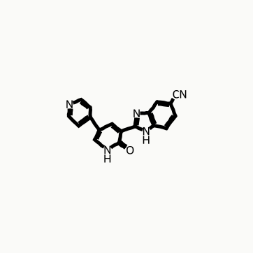 N#Cc1ccc2[nH]c(-c3cc(-c4ccncc4)c[nH]c3=O)nc2c1